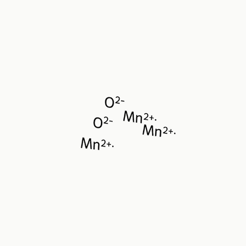 [Mn+2].[Mn+2].[Mn+2].[O-2].[O-2]